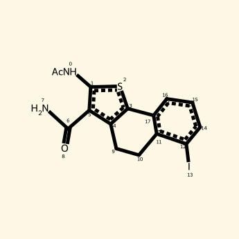 CC(=O)Nc1sc2c(c1C(N)=O)CCc1c(I)cccc1-2